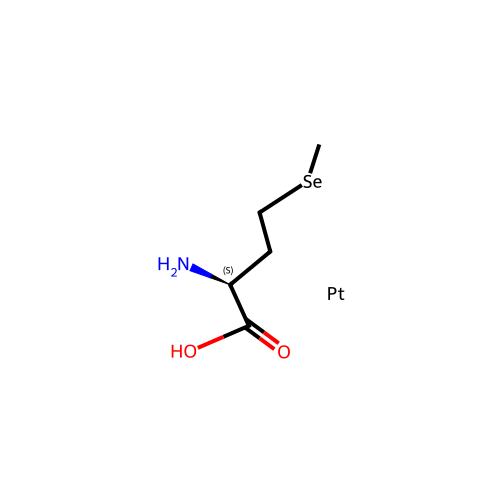 C[Se]CC[C@H](N)C(=O)O.[Pt]